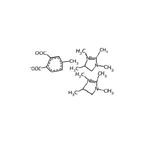 CC1=[N+](C)C(C)CN1C.CC1=[N+](C)C(C)CN1C.Cc1ccc(C(=O)[O-])c(C(=O)[O-])c1